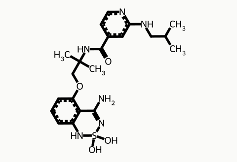 CC(C)CNc1cc(C(=O)NC(C)(C)COc2cccc3c2C(N)=NS(O)(O)N3)ccn1